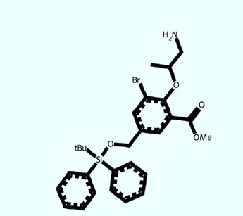 COC(=O)c1cc(CO[Si](c2ccccc2)(c2ccccc2)C(C)(C)C)cc(Br)c1OC(C)CN